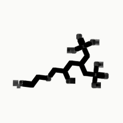 C=CCOCC(O)CC(CP(=O)(O)O)CP(=O)(O)O